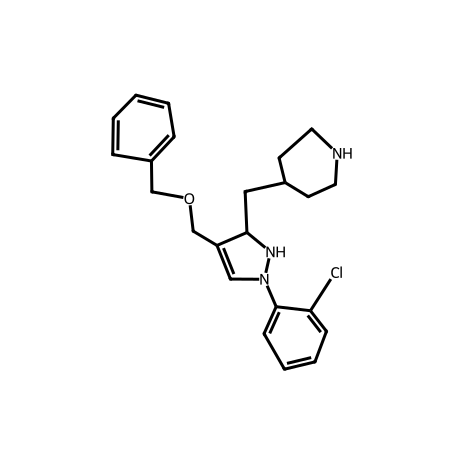 Clc1ccccc1N1C=C(COCc2ccccc2)C(CC2CCNCC2)N1